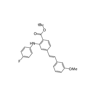 COc1cccc(/C=C/c2ccc(C(=O)OC(C)(C)C)c(Nc3ccc(F)cc3)c2)c1